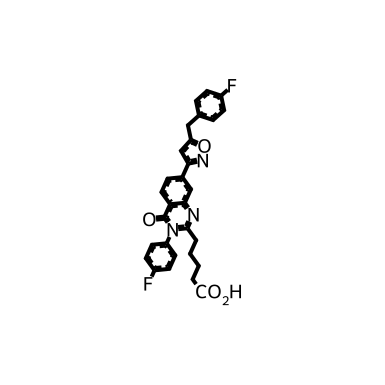 O=C(O)CCCCc1nc2cc(-c3cc(Cc4ccc(F)cc4)on3)ccc2c(=O)n1-c1ccc(F)cc1